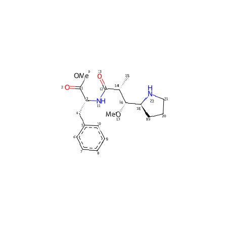 COC(=O)[C@@H](Cc1ccccc1)NC(=O)[C@H](C)[C@@H](OC)[C@@H]1CCCN1